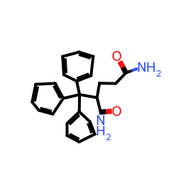 NC(=O)CCC(C(N)=O)C(c1ccccc1)(c1ccccc1)c1ccccc1